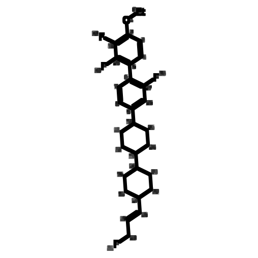 CCOc1ccc(-c2ccc(C3CCC(C4CCC(/C=C/CF)CC4)CC3)cc2F)c(F)c1F